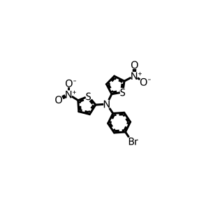 O=[N+]([O-])c1ccc(N(c2ccc(Br)cc2)c2ccc([N+](=O)[O-])s2)s1